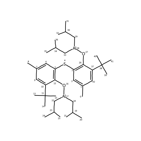 Cc1cc(Sc2cc(C)cc(C(C)(C)C)c2[O][Al]([CH2]C(C)C)[CH2]C(C)C)c([O][Al]([CH2]C(C)C)[CH2]C(C)C)c(C(C)(C)C)c1